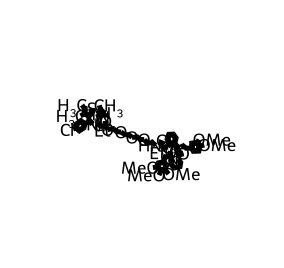 CC[C@H](C(=O)N1CCCC[C@H]1C(=O)O[C@H](CCc1ccc(OC)c(OC)c1)c1ccccc1OCC(=O)NCCOCCOCCOCCOC(=O)[C@H](CC)[C@@H]1N=C(c2ccc(Cl)cc2)c2c(sc(C)c2C)-n2c(C)nnc21)c1cc(OC)c(OC)c(OC)c1